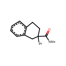 CNC(=O)C1(C(C)C)CCc2ccccc2C1